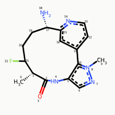 C[C@H]1C(=O)Nc2cnn(C)c2-c2ccnc(c2)[C@@H](N)CCC1F